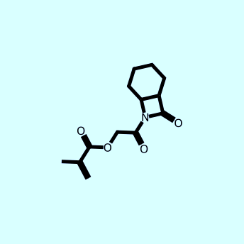 C=C(C)C(=O)OCC(=O)N1C(=O)C2CCCCC21